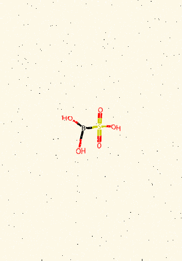 O=S(=O)(O)B(O)O